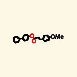 COc1ccc(/C=C/C(=O)Oc2ccc(-c3ccccc3)cc2)cc1